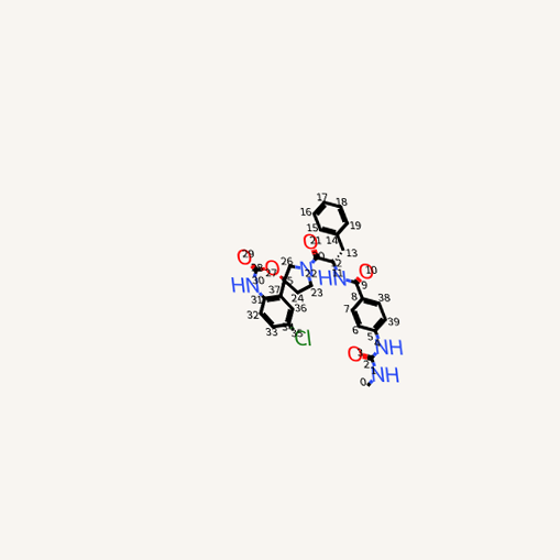 CNC(=O)Nc1ccc(C(=O)N[C@@H](Cc2ccccc2)C(=O)N2CCC3(C2)OC(=O)Nc2ccc(Cl)cc23)cc1